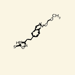 COCOn1ncc2cc(CCc3noc(=S)[nH]3)ccc21